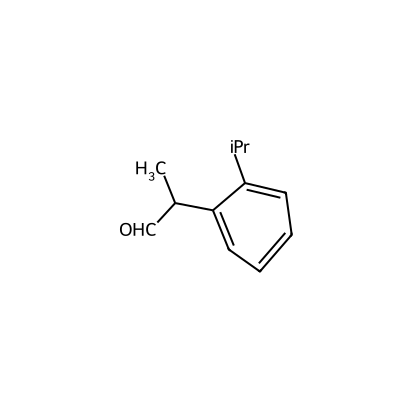 CC(C)c1ccccc1C(C)C=O